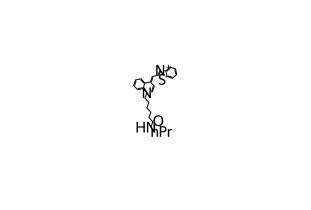 CCCNC(=O)CCCCCN1C=CC(=Cc2sc3ccccc3[n+]2C)c2ccccc21